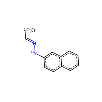 CCOC(=O)/C=N/Nc1ccc2ccccc2c1